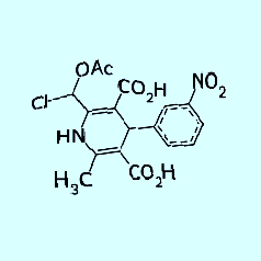 CC(=O)OC(Cl)C1=C(C(=O)O)C(c2cccc([N+](=O)[O-])c2)C(C(=O)O)=C(C)N1